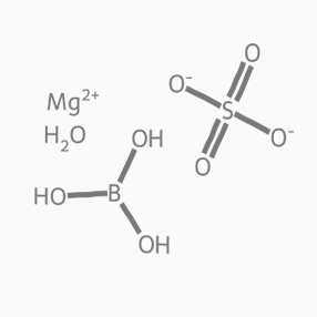 O.O=S(=O)([O-])[O-].OB(O)O.[Mg+2]